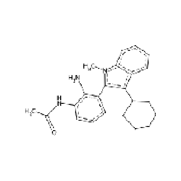 CC(=O)Nc1cccc(-c2c(C3CCCCC3)c3ccccc3n2C)c1N